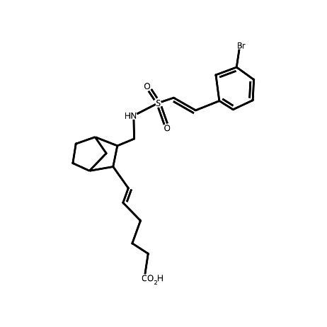 O=C(O)CCCC=CC1C2CCC(C2)C1CNS(=O)(=O)C=Cc1cccc(Br)c1